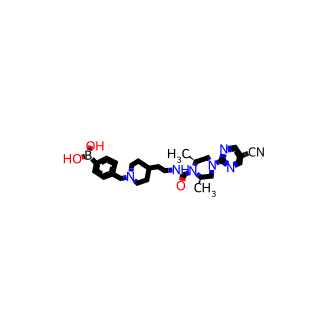 C[C@@H]1CN(c2ncc(C#N)cn2)C[C@H](C)N1C(=O)NCCC1CCN(Cc2ccc(B(O)O)cc2)CC1